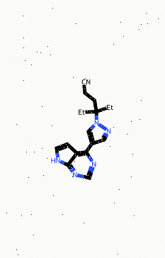 CCC(CC)(CCC#N)n1cc(-c2ncnc3[nH]ccc23)cn1